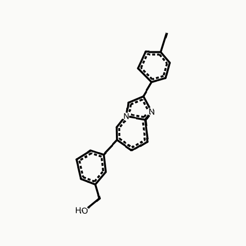 Cc1ccc(-c2cn3cc(-c4cccc(CO)c4)ccc3n2)cc1